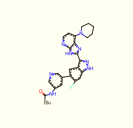 CC(C)(C)C(=O)Nc1cncc(-c2cc3c(-c4nc5c(N6CCCCC6)ccnc5[nH]4)n[nH]c3cc2F)c1